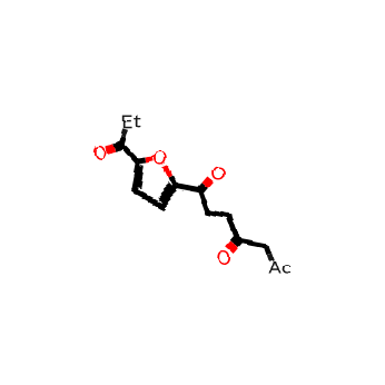 CCC(=O)c1ccc(C(=O)CCC(=O)CC(C)=O)o1